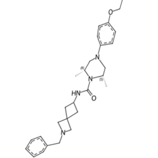 CCOc1ccc(N2C[C@@H](C)N(C(=O)NC3CC4(C3)CN(Cc3ccccc3)C4)[C@@H](C)C2)cc1